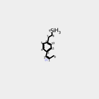 C/C=C\c1ccc(CC[SiH3])cc1